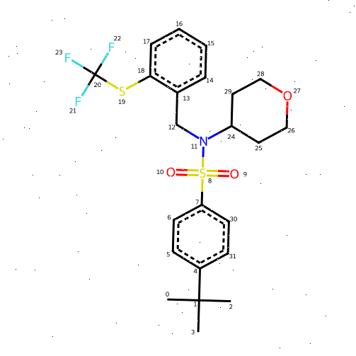 CC(C)(C)c1ccc(S(=O)(=O)N(Cc2ccccc2SC(F)(F)F)C2CCOCC2)cc1